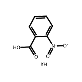 O=C(O)c1ccccc1[N+](=O)[O-].[KH]